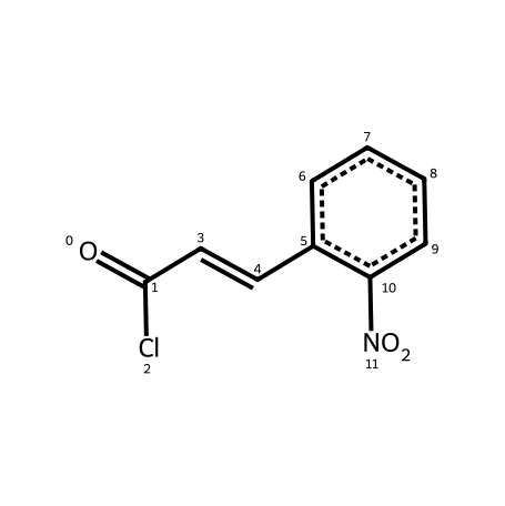 O=C(Cl)C=Cc1ccccc1[N+](=O)[O-]